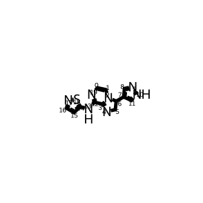 C1=CN2C(=NCC2c2cn[nH]c2)C(Nc2ccns2)=N1